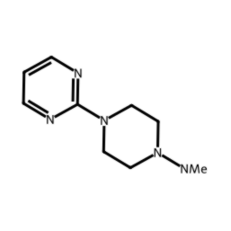 CNN1CCN(c2ncccn2)CC1